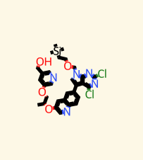 CC(COc1cncc(CO)c1)Oc1cnc2ccc(-c3cn(COCC[Si](C)(C)C)c4nc(Cl)nc(Cl)c34)cc2c1